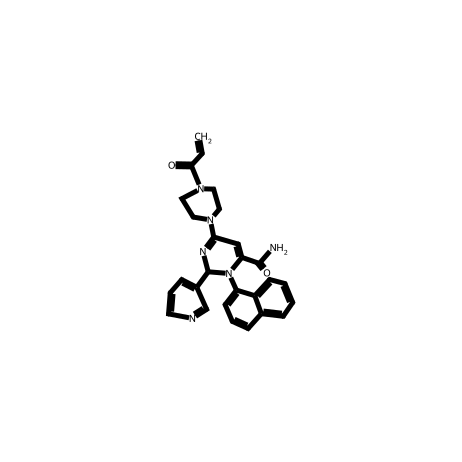 C=CC(=O)N1CCN(C2=NC(c3cccnc3)N(c3cccc4ccccc34)C(C(N)=O)=C2)CC1